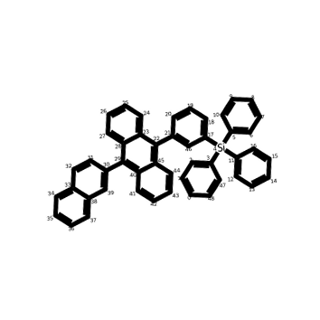 c1ccc([Si](c2ccccc2)(c2ccccc2)c2cccc(-c3c4ccccc4c(-c4ccc5ccccc5c4)c4ccccc34)c2)cc1